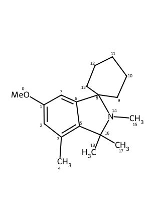 COc1cc(C)c2c(c1)C1(CCCCC1)N(C)C2(C)C